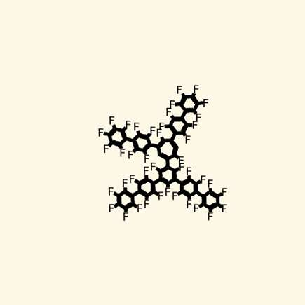 FC1=C=C(c2c(F)c(F)c(-c3c(F)c(F)c(F)c(F)c3F)c(F)c2F)C(F)=C(c2c(F)c(F)c(-c3c(F)c(F)c(F)c(F)c3F)c(F)c2F)C=C1c1c(F)c(-c2c(F)c(F)c(-c3c(F)c(F)c(F)c(F)c3F)c(F)c2F)c(F)c(-c2c(F)c(F)c(-c3c(F)c(F)c(F)c(F)c3F)c(F)c2F)c1F